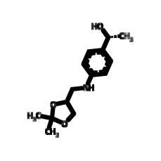 C[C@@H](O)c1ccc(NCC2COC(C)(C)O2)cc1